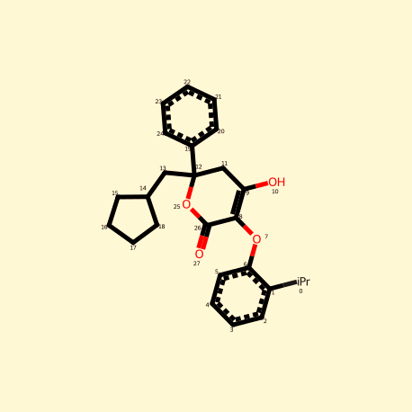 CC(C)c1ccccc1OC1=C(O)CC(CC2CCCC2)(c2ccccc2)OC1=O